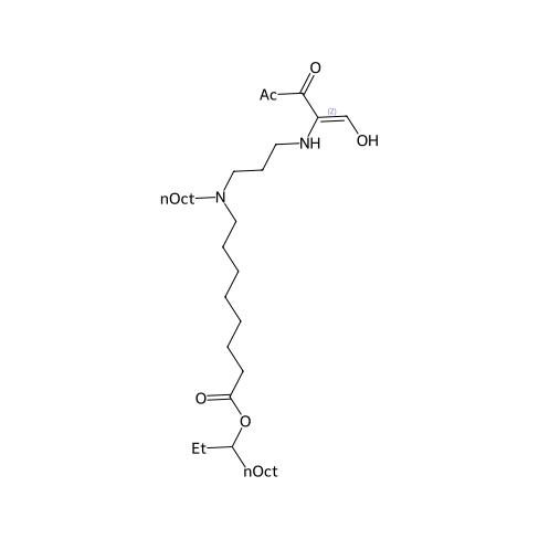 CCCCCCCCC(CC)OC(=O)CCCCCCCN(CCCCCCCC)CCCN/C(=C\O)C(=O)C(C)=O